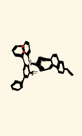 C=Cc1ccc2c(ccc3cc(N(c4ccccc4)c4c(F)cc(-c5ccccc5)cc4-c4ccccc4)ccc32)c1